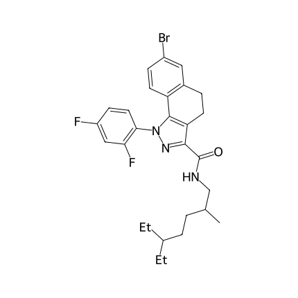 CCC(CC)CCC(C)CNC(=O)c1nn(-c2ccc(F)cc2F)c2c1CCc1cc(Br)ccc1-2